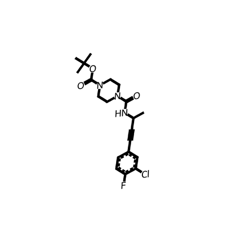 CC(C#Cc1ccc(F)c(Cl)c1)NC(=O)N1CCN(C(=O)OC(C)(C)C)CC1